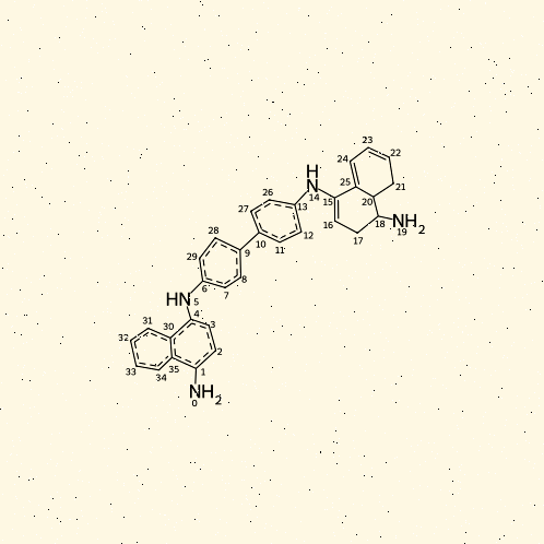 Nc1ccc(Nc2ccc(-c3ccc(NC4=CCC(N)C5CC=CC=C45)cc3)cc2)c2ccccc12